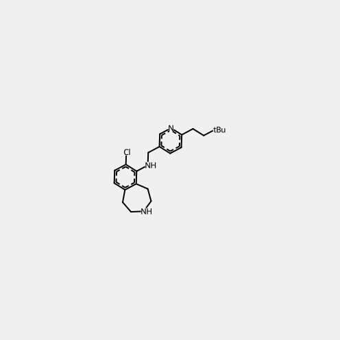 CC(C)(C)CCc1ccc(CNc2c(Cl)ccc3c2CCNCC3)cn1